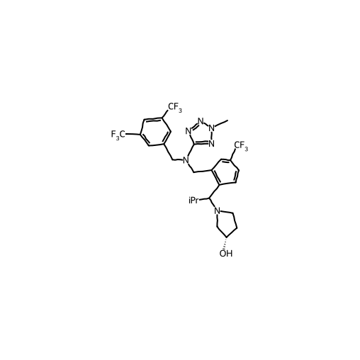 CC(C)C(c1ccc(C(F)(F)F)cc1CN(Cc1cc(C(F)(F)F)cc(C(F)(F)F)c1)c1nnn(C)n1)N1CC[C@H](O)C1